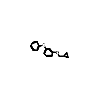 [c]1cccc(Oc2cccc(OCC3CC3)c2)c1